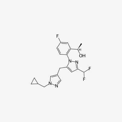 C[C@@H](O)c1cc(F)ccc1-n1nc(C(F)F)cc1Cc1cnn(CC2CC2)c1